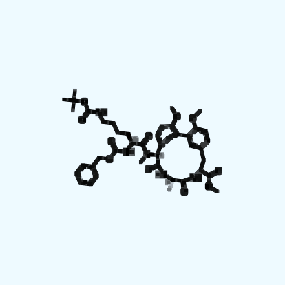 COC(=O)C1Cc2ccc(OC)c(c2)-c2cc(ccc2OC)[C@H](N(C)C(=O)[C@H](CCCCNC(=O)OC(C)(C)C)NC(=O)OCc2ccccc2)C(=O)N[C@@H](C)C(=O)N1